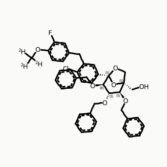 [2H]C([2H])([2H])Oc1ccc(Cc2cc([C@]34OC[C@](CO)(O3)[C@@H](OCc3ccccc3)[C@H](OCc3ccccc3)[C@H]4OCc3ccccc3)ccc2Cl)cc1F